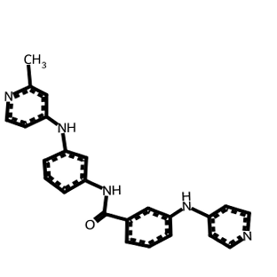 Cc1cc(Nc2cccc(NC(=O)c3cccc(Nc4ccncc4)c3)c2)ccn1